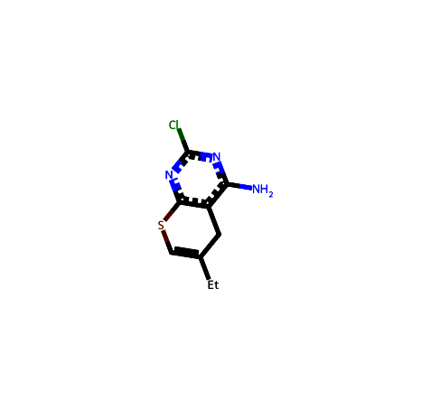 CCC1=CSc2nc(Cl)nc(N)c2C1